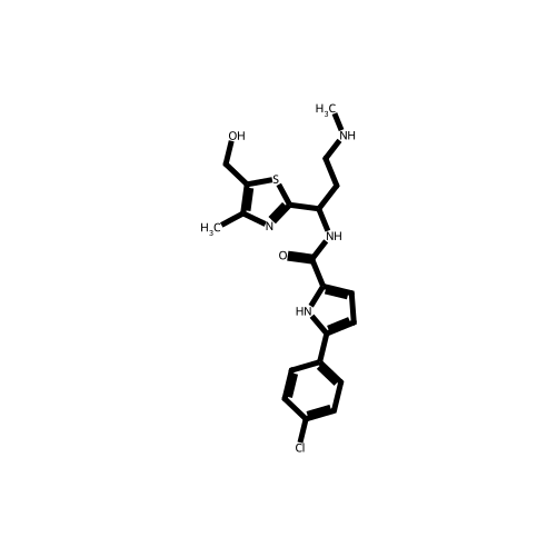 CNCCC(NC(=O)c1ccc(-c2ccc(Cl)cc2)[nH]1)c1nc(C)c(CO)s1